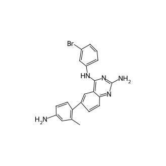 Cc1cc(N)ccc1-c1ccc2nc(N)nc(Nc3cccc(Br)c3)c2c1